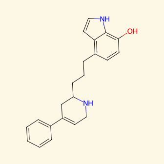 Oc1ccc(CCCC2CC(c3ccccc3)=CCN2)c2cc[nH]c12